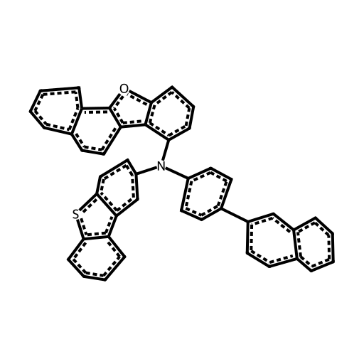 c1ccc2cc(-c3ccc(N(c4ccc5sc6ccccc6c5c4)c4cccc5oc6c7ccccc7ccc6c45)cc3)ccc2c1